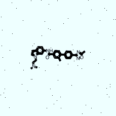 Cc1nc(-c2ccc(-c3ccc(C(=O)Nc4ccc5ccn(CCN(C)C)c5c4)cc3C)cc2)no1